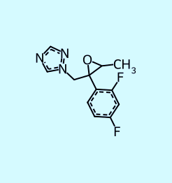 CC1OC1(Cn1cncn1)c1ccc(F)cc1F